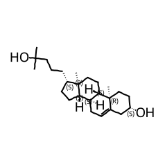 CC(C)(O)CCC[C@H]1CC[C@H]2[C@@H]3CC=C4C[C@@H](O)CC[C@]4(C)[C@H]3CC[C@]12C